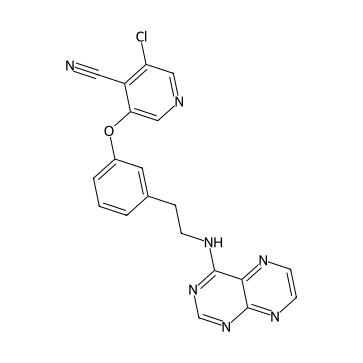 N#Cc1c(Cl)cncc1Oc1cccc(CCNc2ncnc3nccnc23)c1